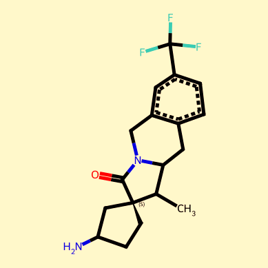 CC1C2Cc3ccc(C(F)(F)F)cc3CN2C(=O)[C@]12CCC(N)C2